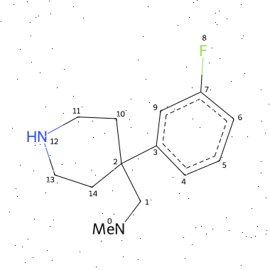 CNCC1(c2cccc(F)c2)CCNCC1